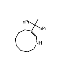 CCCC(C)(CCC)/C1=C/NCCCCCCC1